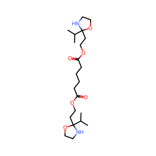 CC(C)C1(CCOC(=O)CCCCC(=O)OCCC2(C(C)C)NCCO2)NCCO1